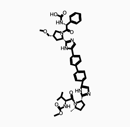 COC[C@H]1C[C@@H](c2ncc(-c3ccc(-c4ccc(-c5cnc([C@@H]6CC[C@H](C)N6C(=O)[C@@H](NC(=O)OC)C(C)C)[nH]5)cc4)cc3)[nH]2)N(C(=O)[C@H](NC(=O)O)c2ccccc2)C1